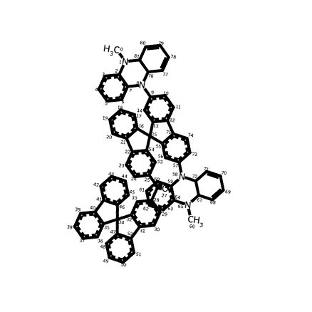 CN1c2ccccc2N(c2ccc3c(c2)C2(c4ccccc4-c4ccc(C(=O)c5ccc6c(c5)C5(c7ccccc7-c7ccccc75)c5ccccc5-6)cc42)c2cc(N4c5ccccc5N(C)C5C=CC=CC54)ccc2-3)C2C=CC=CC21